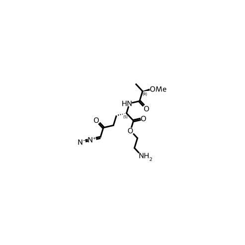 CO[C@H](C)C(=O)N[C@@H](CCC(=O)C=[N+]=[N-])C(=O)OCCN